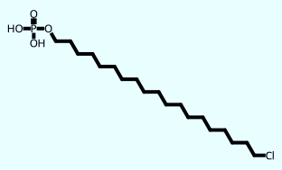 O=P(O)(O)OCCCCCCCCCCCCCCCCCCCCl